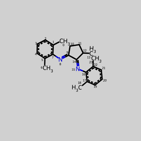 Cc1cccc(C)c1N=C1CCC(C)C1=Nc1c(C)cccc1C